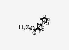 CCOC(=O)c1csc(N2CCCC2)n1